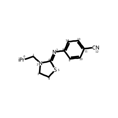 CC(C)CN1CCS/C1=N\c1ccc(C#N)cc1